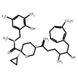 C=C(CCC(C)C(CCC)CC1=CC(C(=O)O)=CCC=C1)[C@@H]1CC[C@@](C(=O)N(C)Cc2cc(C(F)(F)F)cc(C(F)(F)F)c2O)(C2CC2)OC1